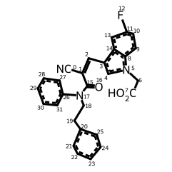 N#CC(=Cc1cn(CC(=O)O)c2ccc(F)cc12)C(=O)N(CCc1ccccc1)c1ccccc1